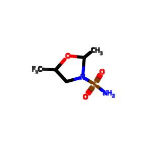 CC1OC(C(F)(F)F)CN1S(N)(=O)=O